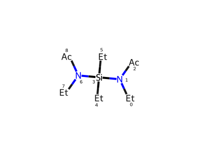 CCN(C(C)=O)[Si](CC)(CC)N(CC)C(C)=O